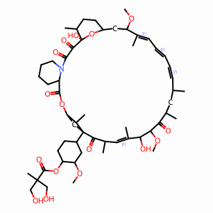 COC1CC2CCC(C)C(O)(O2)C(=O)C(=O)N2CCCCC2C(=O)OC2CC(C3CCC(OC(=O)C(C)(CO)CO)C(OC)C3)(C(=O)C(C)/C=C(\C)C(O)C(OC)C(=O)C(C)CC(C)\C=C/C=C/C=C/1C)C2C